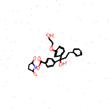 O=C(ON1C(=O)CCC1=O)c1ccc(C(O)(CCc2ccccc2)c2cccc(OCCO)c2)cc1